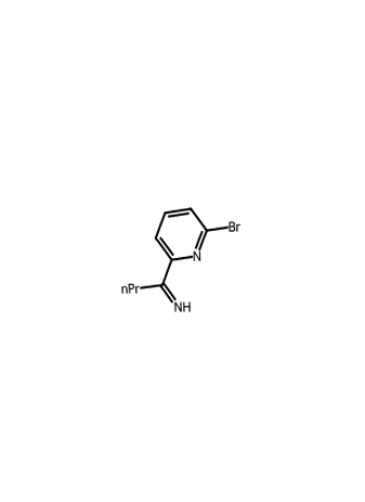 CCCC(=N)c1cccc(Br)n1